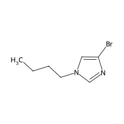 CCCCn1cnc(Br)c1